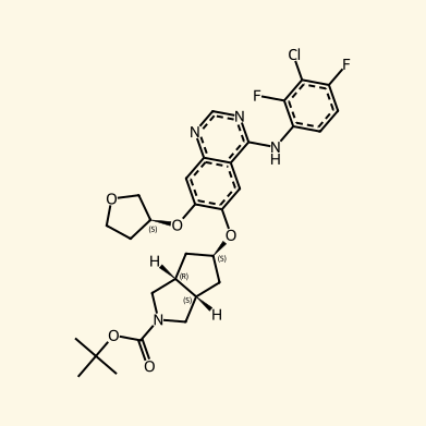 CC(C)(C)OC(=O)N1C[C@H]2C[C@H](Oc3cc4c(Nc5ccc(F)c(Cl)c5F)ncnc4cc3O[C@H]3CCOC3)C[C@H]2C1